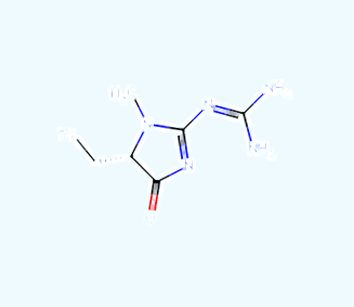 CC(C)C[C@H]1C(=O)N=C(N=C(N)N)N1C